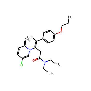 C=C1C=CC(Cl)=CN1/C(CC(=O)N(CC)CC)=C(\C)c1ccc(OCCC)cc1